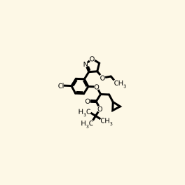 CCOC1CON=C1c1cc(Cl)ccc1OC(CC1CC1)C(=O)OC(C)(C)C